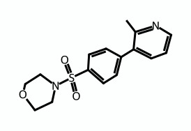 Cc1ncccc1-c1ccc(S(=O)(=O)N2CCOCC2)cc1